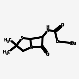 CC(C)(C)OC(=O)NC1C(=O)N2CC(C)(C)SC12